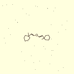 CC1(C=COC=CC2(C)CCCCC2)CCCCC1